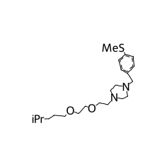 CSc1ccc(CN2CCN(CCOCCOCCCC(C)C)CC2)cc1